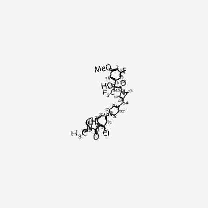 COc1cc(F)cc(C(O)(C(=O)N2CC(CC3CCN(c4ccc(C(=O)N(C)C)c(Cl)c4)CC3)C2)C(F)(F)F)c1